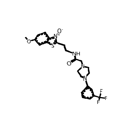 COc1ccc2c(c1)sc(CCNC(=O)CN1CCN(c3cccc(C(F)(F)F)c3)CC1)[n+]2[O-]